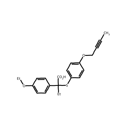 CC#CCOc1ccc(SC(CC)(C(=O)O)c2ccc(OCC)cc2)cc1